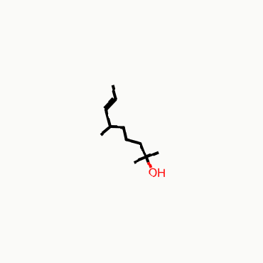 C/C=C/C(C)CCCC(C)(C)O